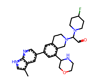 Cc1c[nH]c2ncc(-c3cc4c(c(C5COCCN5)c3)CN(C(C=O)N3CCC(F)CC3)CC4)cc12